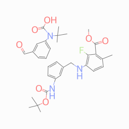 CC(C)(C)N(C(=O)O)c1cccc(C=O)c1.COC(=O)c1c(C)ccc(NCc2cccc(NC(=O)OC(C)(C)C)c2)c1F